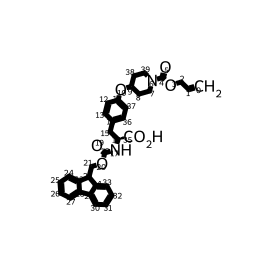 C=CCOC(=O)N1CCC(Oc2ccc(C[C@H](NC(=O)OCC3c4ccccc4-c4ccccc43)C(=O)O)cc2)CC1